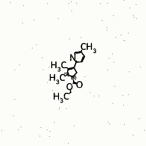 CCOC(=O)[C@@H]1CC(c2ccc(C)cn2)=C(C)[C@H]1C